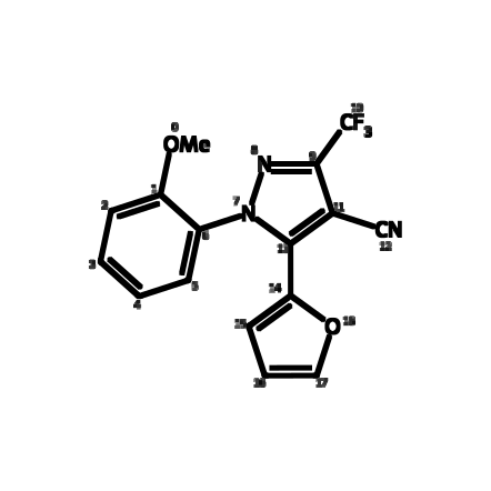 COc1ccccc1-n1nc(C(F)(F)F)c(C#N)c1-c1ccco1